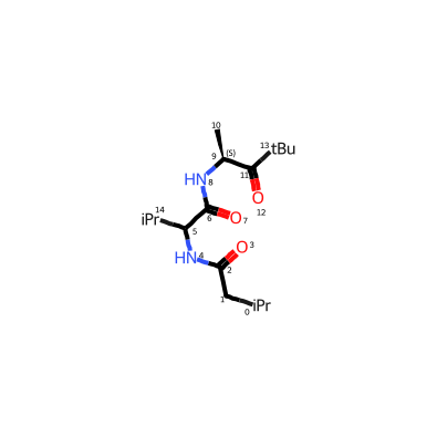 CC(C)CC(=O)NC(C(=O)N[C@@H](C)C(=O)C(C)(C)C)C(C)C